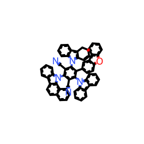 N#Cc1c(-n2c3c(c4ccccc42)CCC=C3)c(-c2ccc3oc4ccccc4c3c2)c(-n2c3ccccc3c3ccccc32)c(C#N)c1-n1c2ccccc2c2ccc3ccccc3c21